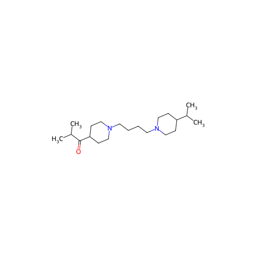 CC(C)C(=O)C1CCN(CCCCN2CCC(C(C)C)CC2)CC1